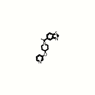 C[C@@H](c1ccc2scnc2c1)N1CCC(Oc2cccnc2)CC1